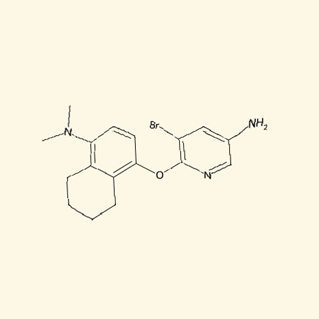 CN(C)c1ccc(Oc2ncc(N)cc2Br)c2c1CCCC2